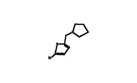 Brc1ccc(CN2CCCC2)s1